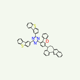 c1ccc2c(c1)-c1cc3ccccc3cc1CCC2c1ccc(-c2nc(-c3ccc4sc5ccccc5c4c3)nc(-c3ccc4sc5ccccc5c4c3)n2)c2c1oc1ccccc12